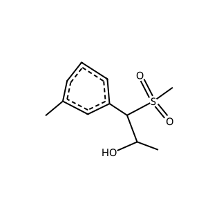 Cc1cccc(C(C(C)O)S(C)(=O)=O)c1